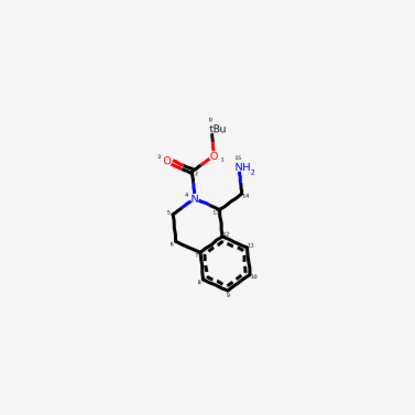 CC(C)(C)OC(=O)N1CCc2ccccc2C1CN